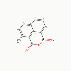 O=C1OC(=O)c2cccc3cccc1c23.[Pb]